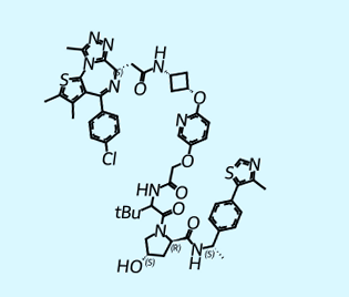 Cc1ncsc1-c1ccc([C@H](C)NC(=O)[C@H]2C[C@H](O)CN2C(=O)C(NC(=O)COc2ccc(O[C@H]3C[C@@H](NC(=O)C[C@@H]4N=C(c5ccc(Cl)cc5)c5c(sc(C)c5C)-n5c(C)nnc54)C3)nc2)C(C)(C)C)cc1